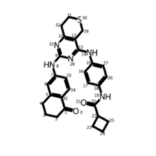 O=C1CCCc2cc(Nc3nc4c(c(Nc5ccc(NC(=O)C6CCC6)cc5)n3)CSCC4)ccc21